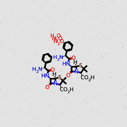 CC1(C)S[C@@H]2[C@H](NC(=O)[C@H](N)c3ccccc3)C(=O)N2[C@H]1C(=O)O.CC1(C)S[C@@H]2[C@H](NC(=O)[C@H](N)c3ccccc3)C(=O)N2[C@H]1C(=O)O.O.O.O